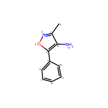 Cc1noc(-c2ccccc2)c1N